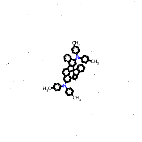 Cc1ccc(N(c2ccc(C)cc2)c2ccc3c4c(ccc3c2)-c2c(cc(N(c3ccc(C)cc3)c3ccc(C)cc3)c3ccccc23)C42c3ccccc3-c3ccccc32)cc1